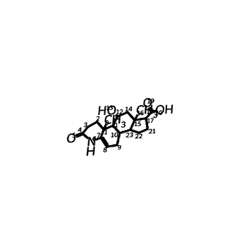 CC12CCC(=O)NC1=CCC1C2C(O)CC2(C)C(C(=O)O)CCC12